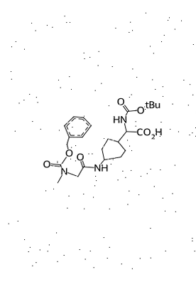 CN(CC(=O)NC1CCC(C(NC(=O)OC(C)(C)C)C(=O)O)CC1)C(=O)OCc1ccccc1